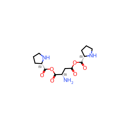 N[C@@H](CC(=O)OC(=O)[C@@H]1CCCN1)C(=O)OC(=O)[C@@H]1CCCN1